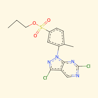 CCCOS(=O)(=O)c1ccc(C)c(-n2nc(Cl)c3cnc(Cl)nc32)c1